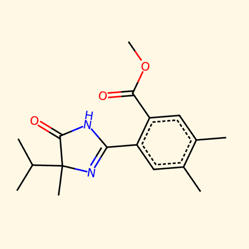 COC(=O)c1cc(C)c(C)cc1C1=NC(C)(C(C)C)C(=O)N1